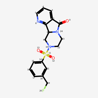 O=C1c2cccnc2C2CN(S(=O)(=O)c3cccc(CF)c3)CCN12